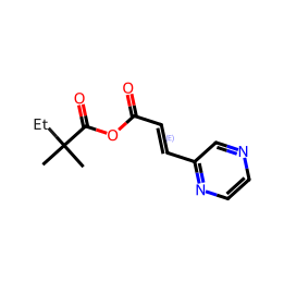 CCC(C)(C)C(=O)OC(=O)/C=C/c1cnccn1